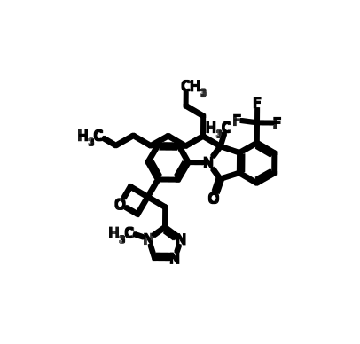 CCCCCCC(CCC)C1(C)c2c(cccc2C(F)(F)F)C(=O)N1c1cccc(C2(Cc3nncn3C)COC2)c1